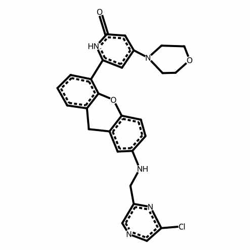 O=c1cc(N2CCOCC2)cc(-c2cccc3c2Oc2ccc(NCc4cncc(Cl)n4)cc2C3)[nH]1